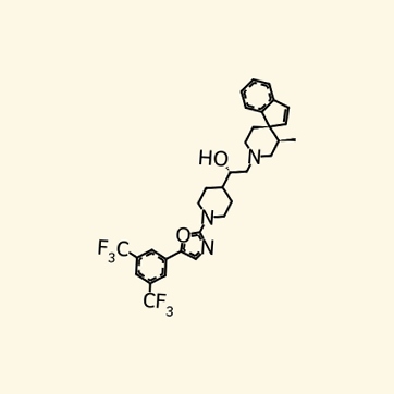 C[C@H]1CN(C[C@@H](O)C2CCN(c3ncc(-c4cc(C(F)(F)F)cc(C(F)(F)F)c4)o3)CC2)CC[C@@]12C=Cc1ccccc12